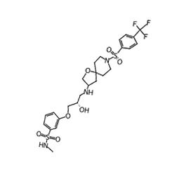 CNS(=O)(=O)c1cccc(OC[C@@H](O)CNC2COC3(CCN(S(=O)(=O)c4ccc(C(F)(F)F)cc4)CC3)C2)c1